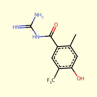 Cc1cc(O)c(C(F)(F)F)cc1C(=O)NC(=N)N